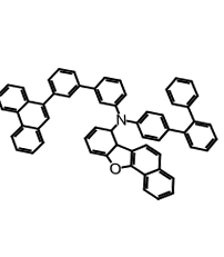 C1=CC(N(c2ccc(-c3ccccc3-c3ccccc3)cc2)c2cccc(-c3cccc(-c4cc5ccccc5c5ccccc45)c3)c2)C2C(=C1)Oc1c2ccc2ccccc12